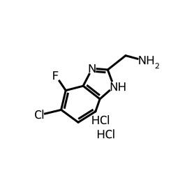 Cl.Cl.NCc1nc2c(F)c(Cl)ccc2[nH]1